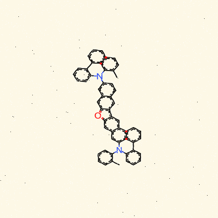 Cc1ccccc1N(c1ccc2cc3c(cc2c1)oc1cc2cc(N(c4ccccc4C)c4ccccc4-c4ccccc4)ccc2cc13)c1ccccc1-c1ccccc1